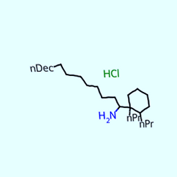 CCCCCCCCCCCCCCCCCC(N)C1(CCC)CCCCC1CCC.Cl